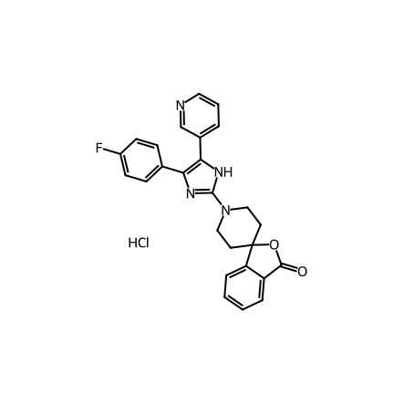 Cl.O=C1OC2(CCN(c3nc(-c4ccc(F)cc4)c(-c4cccnc4)[nH]3)CC2)c2ccccc21